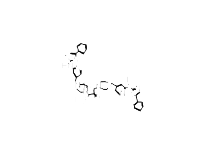 CC(C(=O)C(C)N1CCN(Cc2ccnc(Nc3ncc(-c4ccccc4)s3)c2)CC1)N1CCN(Cc2ccnc(Nc3ncc(-c4ccccc4)s3)c2)CC1